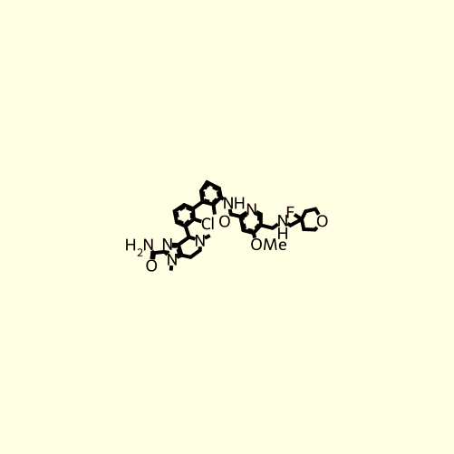 COc1cc(C(=O)Nc2cccc(-c3cccc(C4c5nc(C(N)=O)n(C)c5CCN4C)c3Cl)c2C)ncc1CNCC1(F)CCOCC1